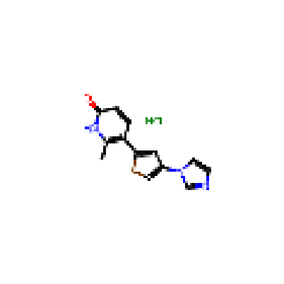 Cc1[nH]c(=O)ccc1-c1cc(-n2ccnc2)cs1.Cl